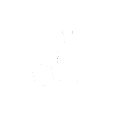 CCOC(=O)C1CCCCC1NCCC(C)(C)C